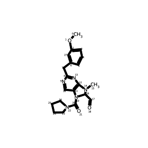 COc1cccc(Cc2ncc3c(n2)N(C)C(C=O)N3C(=O)N2CCCC2)c1